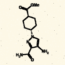 COC(=O)[C@H]1CC[C@H](n2cc(N)c(C(N)=O)n2)CC1